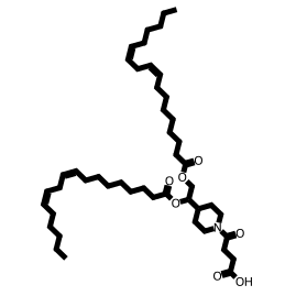 CCCCC/C=C\C/C=C\CCCCCCCC(=O)OCC(OC(=O)CCCCCCC/C=C\C/C=C\CCCCC)C1CCN(C(=O)CCC(=O)O)CC1